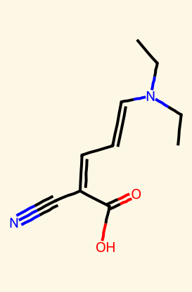 CCN(C=CC=C(C#N)C(=O)O)CC